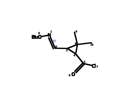 CC(C)CO/N=C/C1C(C(=O)Cl)C1(C)C